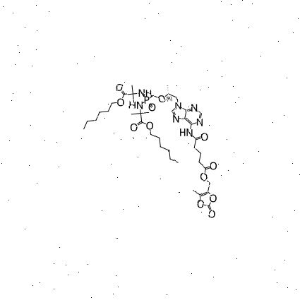 CCCCCCOC(=O)C(C)(C)NP(=O)(CO[C@H](C)Cn1cnc2c(NC(=O)CCCC(=O)OCc3oc(=O)oc3C)ncnc21)NC(C)(C)C(=O)OCCCCCC